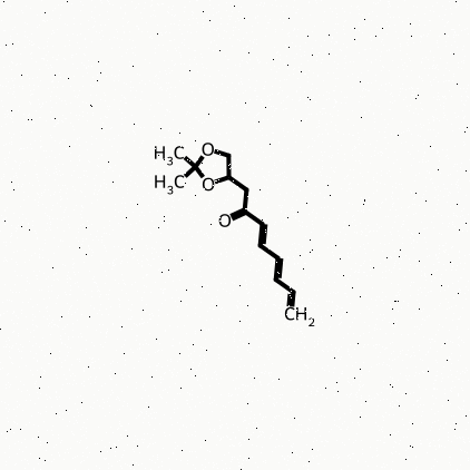 C=CC=CC=CC(=O)CC1COC(C)(C)O1